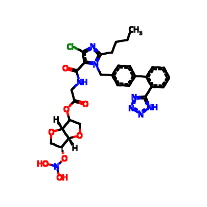 CCCCc1nc(Cl)c(C(=O)NCC(=O)OC2CO[C@H]3[C@@H]2OC[C@H]3ON(O)O)n1Cc1ccc(-c2ccccc2-c2nnn[nH]2)cc1